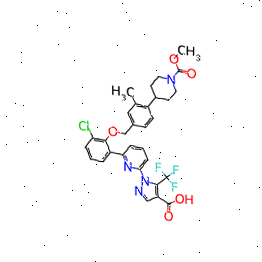 COC(=O)N1CCC(c2ccc(COc3c(Cl)cccc3-c3cccc(-n4ncc(C(=O)O)c4C(F)(F)F)n3)cc2C)CC1